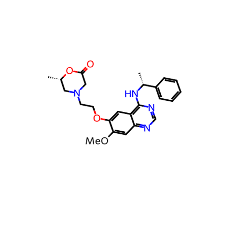 COc1cc2ncnc(N[C@H](C)c3ccccc3)c2cc1OCCN1CC(=O)O[C@@H](C)C1